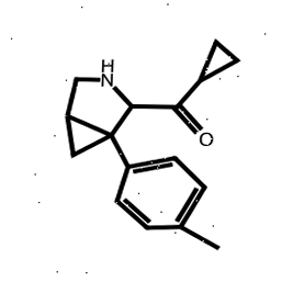 Cc1ccc(C23CC2CNC3C(=O)C2CC2)cc1